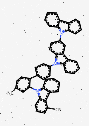 N#Cc1ccc(-c2ccc(-n3c4ccccc4c4cc(-n5c6ccccc6c6ccccc65)ccc43)cc2)c(-n2c3ccccc3c3c(C#N)cccc32)c1